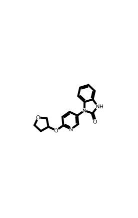 O=c1[nH]c2ccccc2n1-c1ccc(OC2CCOC2)nc1